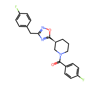 O=C(c1ccc(F)cc1)N1CCC[C@H](c2nc(Cc3ccc(F)cc3)no2)C1